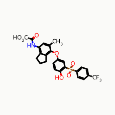 Cc1cc(NC(=O)C(=O)O)c2c(c1Oc1ccc(O)c(S(=O)(=O)c3ccc(C(F)(F)F)cc3)c1)CCC2